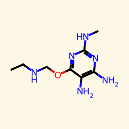 CCNCOc1nc(NC)nc(N)c1N